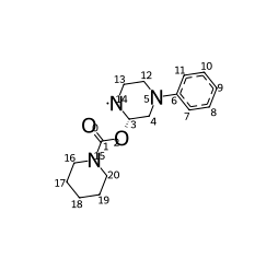 O=C(O[C@H]1CN(c2ccccc2)CC[N]1)N1CCCCC1